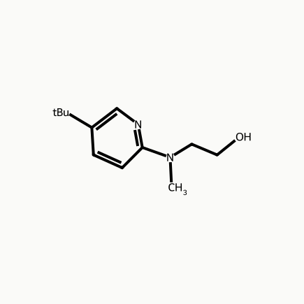 CN(CCO)c1ccc(C(C)(C)C)cn1